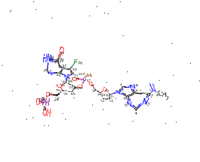 CNc1ncnc2c1ncn2[C@H]1CC[C@@H](COP(=O)(S)O[C@@H]2C[C@@H](CO[PH](=O)O)O[C@H]2n2cc(F)c3c(=O)[nH]cnc32)O1